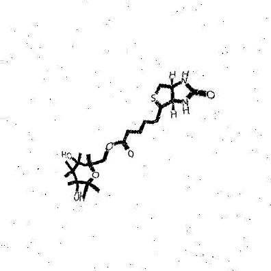 CC1(C)OC(C)(COC(=O)CCCCC2SC[C@@H]3NC(=O)N[C@H]23)C(C)(O)C(C)(C)C1(C)O